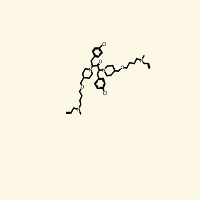 C=CCN(C)CCCCOCC1CCN(C(Cc2ccc(Cl)cc2)C(=O)C(Cc2ccc(Cl)cc2)N2CCC(COCCCCN(C)CC=C)CC2)CC1